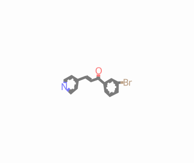 O=C(C=Cc1ccncc1)c1cccc(Br)c1